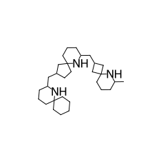 CC1CCCC2(CC(CC3CCCC4(CCC(CC5CCCC6(CCCCC6)N5)C4)N3)C2)N1